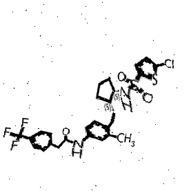 Cc1cc(NC(=O)Cc2ccc(C(F)(F)F)cc2)ccc1C[C@@H]1CCC[C@@H]1NS(=O)(=O)c1ccc(Cl)s1